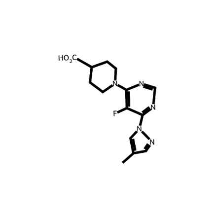 Cc1cnn(-c2ncnc(N3CCC(C(=O)O)CC3)c2F)c1